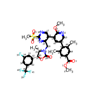 COC(=O)c1cc(C)c(-c2cnc(OC)c(-c3cnc(S(C)(=O)=O)nc3CN3C(=O)O[C@H](c4cc(F)cc(C(F)(F)F)c4)[C@@H]3C)c2)c(C)c1